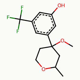 COC1(c2cc(O)cc(C(F)(F)F)c2)CCOC(C)C1